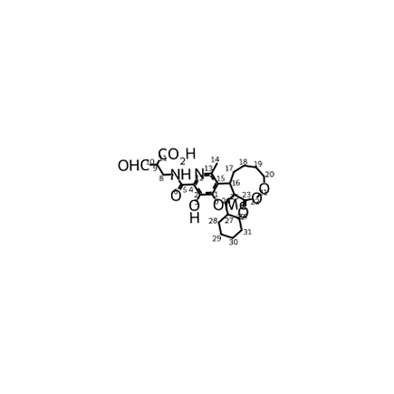 COc1c(O)c(C(=O)NCC(C=O)C(=O)O)nc(C)c1C1CCCCOOC(=O)C1CC1CCCCC1